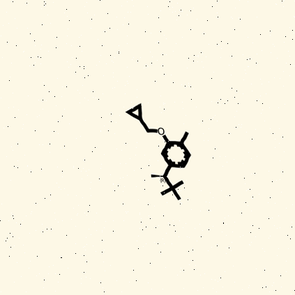 Cc1ccc([C@H](C)C(C)(C)C)cc1OCC1CC1